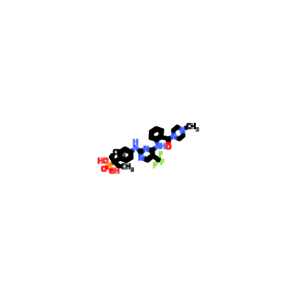 CCC(CC)(c1ccc(Nc2ncc(C(F)(F)F)c(Nc3ccccc3C(=O)N3CCN(C)CC3)n2)cc1)P(=O)(O)O